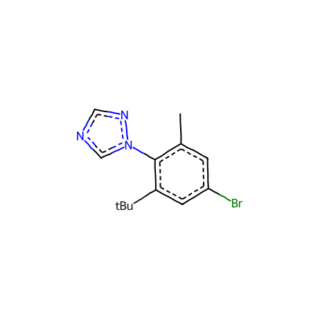 Cc1cc(Br)cc(C(C)(C)C)c1-n1cncn1